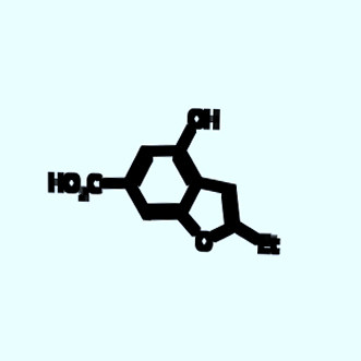 CCc1cc2c(O)cc(C(=O)O)cc2o1